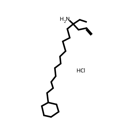 C=CCC(N)(CC)CCCCCCCCCCCC1CCCCC1.Cl